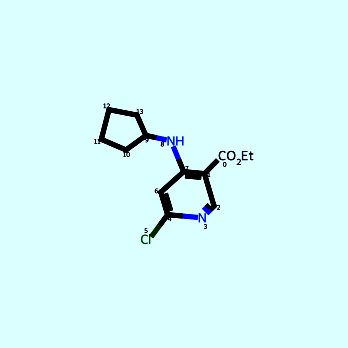 CCOC(=O)c1cnc(Cl)cc1NC1CCCC1